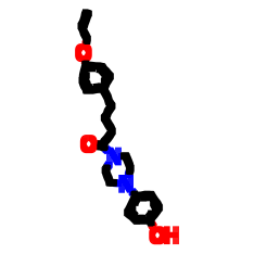 C=CCOc1ccc(CCCC(=O)N2CCN(c3ccc(O)cc3)CC2)cc1